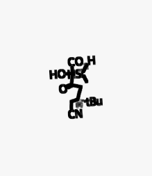 C[SiH](C)C(O)(C(=O)O)C(=O)C[C@@H](CC#N)C(C)(C)C